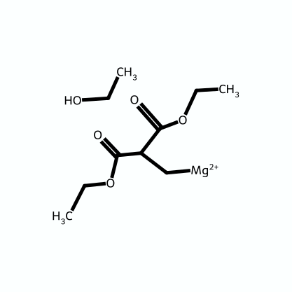 CCO.CCOC(=O)C([CH2][Mg+2])C(=O)OCC